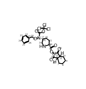 O=C(ON1C(=O)[C@H]2CCCC[C@H]2C1=O)[C@@H]1CC[C@@H](N(OCc2ccccc2)C(=O)OC(Cl)(Cl)Cl)CN1